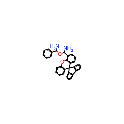 NC(OC(N)c1cccc2c1Oc1ccccc1C21c2ccccc2-c2ccccc21)c1ccccc1